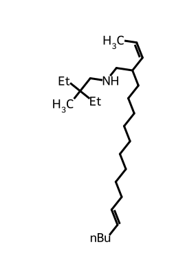 C/C=C\C(CCCCCCCCC/C=C/CCCC)CNCC(C)(CC)CC